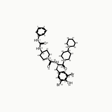 O=C(Nc1ccccc1)NC1CCN(C(=O)N[C@H](Cc2cc(Br)c(O)c(Br)c2)C(=O)N2CCC(N3CCCCC3)CC2)CC1